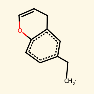 [CH2]Cc1ccc2c(c1)CC=CO2